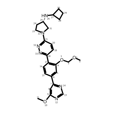 COCOc1cc(-c2cc(OC)ncn2)ccc1-c1ccc(N2CC[C@H](NC3CCC3)C2)nn1